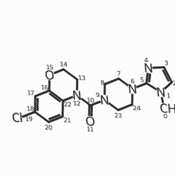 Cn1ccnc1N1CCN(C(=O)N2CCOc3cc(Cl)ccc32)CC1